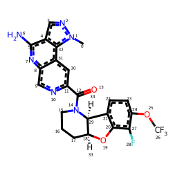 Cn1ncc2c(N)nc3cnc(C(=O)N4CCC[C@@H]5Oc6c(ccc(OC(F)(F)F)c6F)[C@@H]54)cc3c21